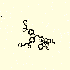 CCN(CCCn1c2ccc(C(=O)CCCl)cc2c2cc(C(=O)CCCl)ccc21)S(=O)(=O)c1ccccc1[N+](=O)[O-]